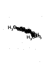 CCCCOc1ccc2oc(-c3ccc4c(c3)CCN(CCC(=O)OC(C)(C)C)C4)cc2c1